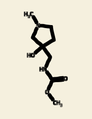 COC(=O)NCC1(O)CCN(C)C1